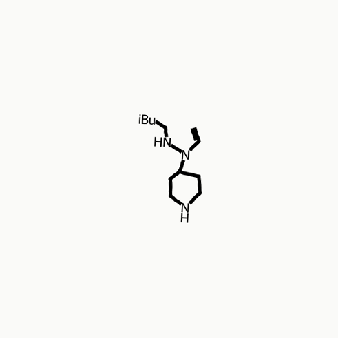 C=CN(NCC(C)CC)C1CCNCC1